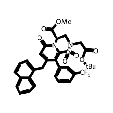 COC(=O)C1CN(CC(=O)OC(C)(C)C)S(=O)(=O)c2c(-c3cccc(C(F)(F)F)c3)c(Cc3cccc4ccccc34)cc(=O)n21